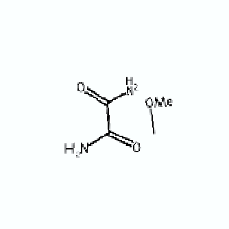 COC.NC(=O)C(N)=O